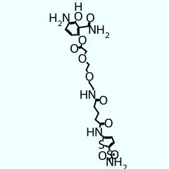 NC(=O)c1c(OC(=O)COCCOCCNC(=O)CCCC(=O)Nc2ccc(S(N)(=O)=O)s2)ccc(N)c1O